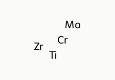 [Cr].[Mo].[Ti].[Zr]